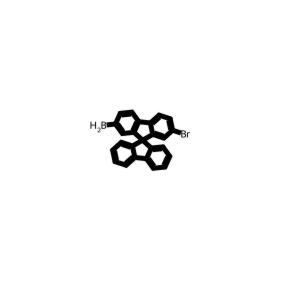 Bc1ccc2c(c1)C1(c3ccccc3-c3ccccc31)c1cc(Br)ccc1-2